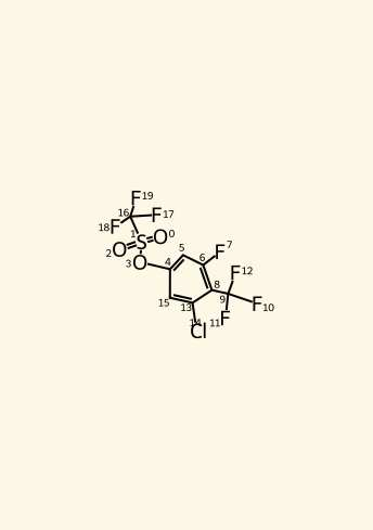 O=S(=O)(Oc1cc(F)c(C(F)(F)F)c(Cl)c1)C(F)(F)F